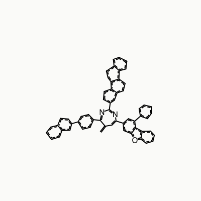 C=C1C=C(c2cc(-c3ccccc3)c3c(c2)oc2ccccc23)N=C(c2ccc3c(ccc4c5ccccc5ccc34)c2)N=C1c1ccc(-c2ccc3ccccc3c2)cc1